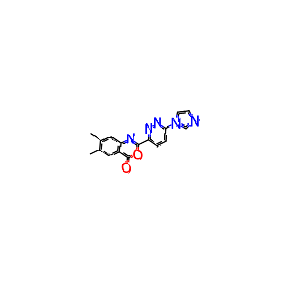 Cc1cc2nc(-c3ccc(-n4ccnc4)nn3)oc(=O)c2cc1C